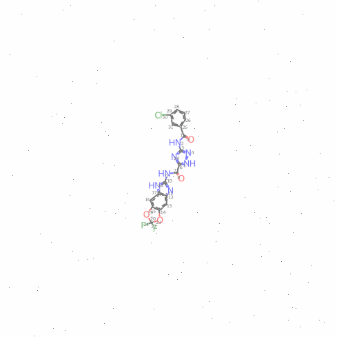 O=C(Nc1n[nH]c(C(=O)Nc2nc3cc4c(cc3[nH]2)OC(F)(F)O4)n1)c1cccc(Cl)c1